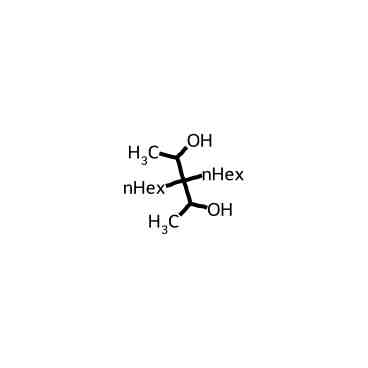 CCCCCCC(CCCCCC)(C(C)O)C(C)O